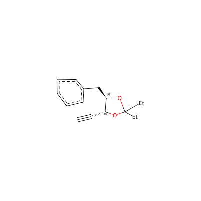 C#C[C@H]1OC(CC)(CC)O[C@@H]1Cc1ccccc1